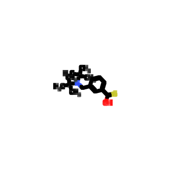 C[Si](C)(C)N(Cc1cccc(C(O)=S)c1)[Si](C)(C)C